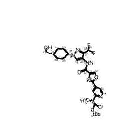 CN(C(=O)OC(C)(C)C)c1cc(-c2nc(C(=O)Nc3cn([C@H]4CC[C@H](CO)CC4)nc3C(F)F)co2)ccn1